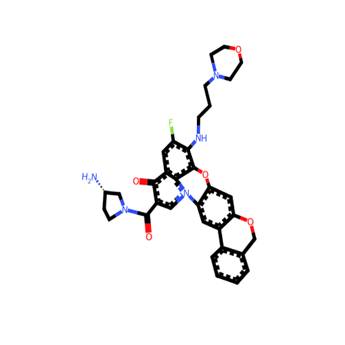 N[C@H]1CCN(C(=O)c2cn3c4c(c(NCCCN5CCOCC5)c(F)cc4c2=O)Oc2cc4c(cc2-3)-c2ccccc2CO4)C1